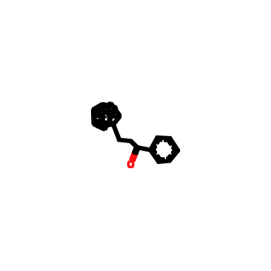 O=C(CC[C]12[CH]3[CH]4[CH]5[CH]1[Fe]45321678[CH]2[CH]1[CH]6[CH]7[CH]28)c1ccccc1